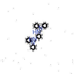 c1ccc(N(CNc2cccc(NCN(c3ccccc3)c3ccccc3)c2)c2ccccc2)cc1